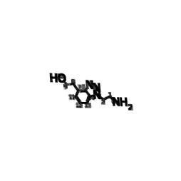 NCCn1nnc2c(CCO)cccc21